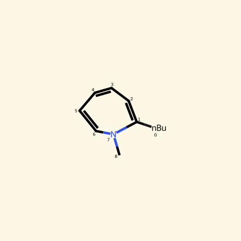 CCCCC1=CC=CC=CN1C